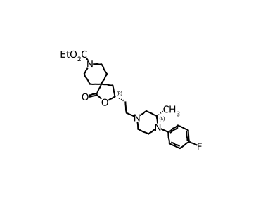 CCOC(=O)N1CCC2(CC1)C[C@H](CCN1CCN(c3ccc(F)cc3)[C@@H](C)C1)OC2=O